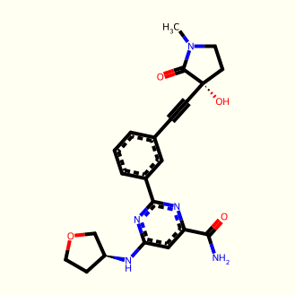 CN1CC[C@@](O)(C#Cc2cccc(-c3nc(N[C@H]4CCOC4)cc(C(N)=O)n3)c2)C1=O